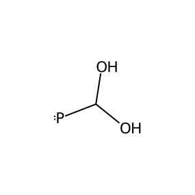 OC(O)[P]